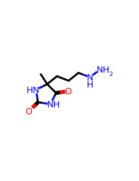 CC1(CCCNN)NC(=O)NC1=O